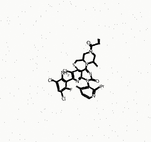 C=CC(=O)N1CC(C)N2c3nc(=O)n(-c4c(C)ccnc4C(C)C)c4nc(-c5c(N)c(Cl)cc(Cl)c5F)c(Cl)c(c34)SCC2C1